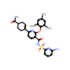 CC(=O)C1CC=C(c2ccc(C(=O)NS(=O)(=O)c3cccc(N)n3)c(Oc3c(C)cc(C)cc3C)n2)CC1